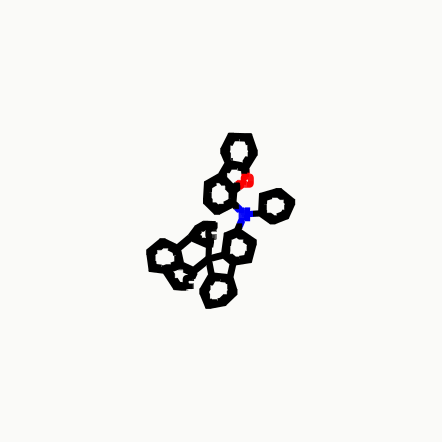 c1ccc(N(c2ccc3c(c2)C2(c4ccccc4-3)c3ccccc3-c3cccc4cccc2c34)c2cccc3c2oc2ccccc23)cc1